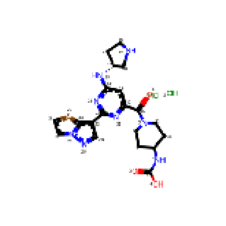 Cl.Cl.O=C(O)NC1CCN(C(=O)c2cc(N[C@@H]3CCNC3)nc(-c3cnn4ccsc34)n2)CC1